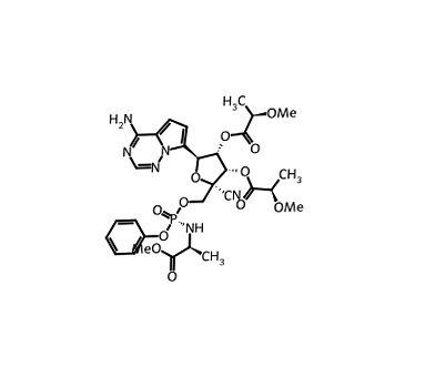 COC(=O)[C@H](C)N[P@](=O)(OC[C@@]1(C#N)O[C@@H](c2ccc3c(N)ncnn23)[C@H](OC(=O)[C@@H](C)OC)[C@@H]1OC(=O)[C@@H](C)OC)Oc1ccccc1